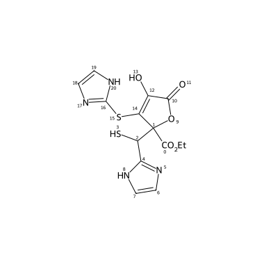 CCOC(=O)C1(C(S)c2ncc[nH]2)OC(=O)C(O)=C1Sc1ncc[nH]1